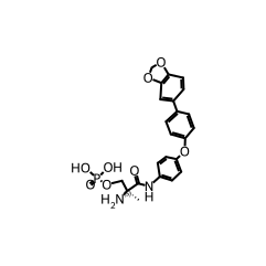 C[C@](N)(COP(=O)(O)O)C(=O)Nc1ccc(Oc2ccc(-c3ccc4c(c3)OCO4)cc2)cc1